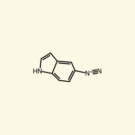 N#[N+]c1ccc2[nH]ccc2c1